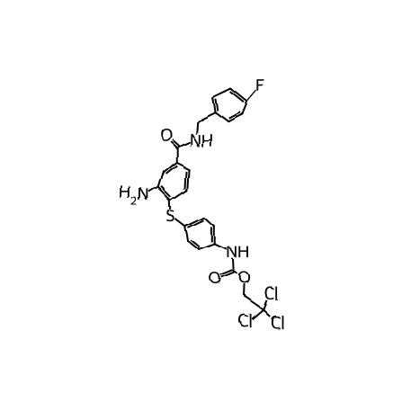 Nc1cc(C(=O)NCc2ccc(F)cc2)ccc1Sc1ccc(NC(=O)OCC(Cl)(Cl)Cl)cc1